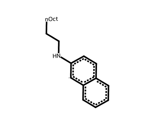 CCCCCCCCCCNc1[c]c2ccccc2cc1